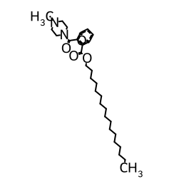 CCCCCCCCCCCCCCCCCOC(=O)c1c(C(=O)N2CCN(C)CC2)c2ccc1o2